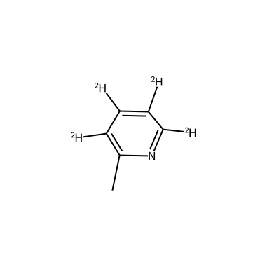 [2H]c1nc(C)c([2H])c([2H])c1[2H]